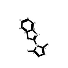 Cc1ccc(C)n1C1=Nc2ccccc2C1